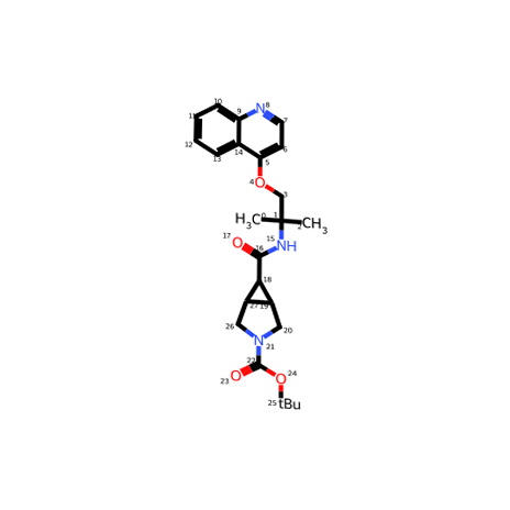 CC(C)(COc1ccnc2ccccc12)NC(=O)C1C2CN(C(=O)OC(C)(C)C)CC21